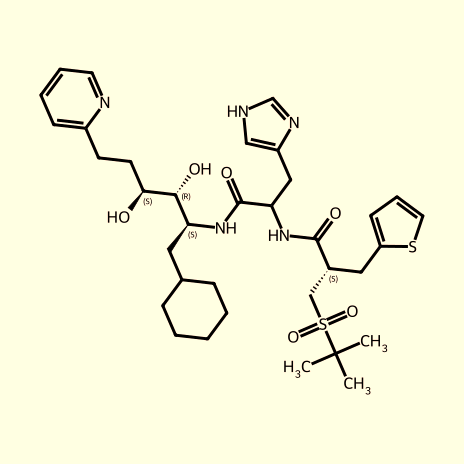 CC(C)(C)S(=O)(=O)C[C@@H](Cc1cccs1)C(=O)NC(Cc1c[nH]cn1)C(=O)N[C@@H](CC1CCCCC1)[C@@H](O)[C@@H](O)CCc1ccccn1